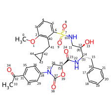 COc1cccc(S(=O)(=O)NC[C@@H](O)[C@H](Cc2ccccc2)NC(=O)[C@@H]2CN(c3ccc(C(C)=O)cc3)C(=O)O2)c1CC1CC1